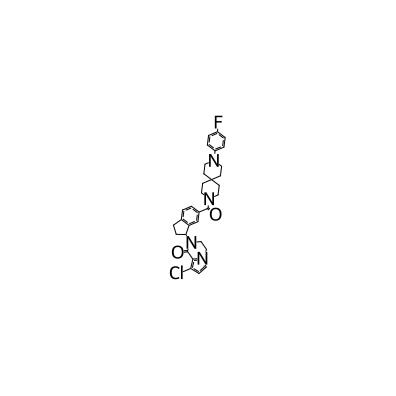 O=C(c1ccc2c(c1)C(N1CCn3ccc(Cl)c3C1=O)CC2)N1CCC2(CC1)CCN(c1ccc(F)cc1)CC2